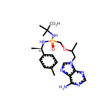 Cc1ccc([C@@H](C)NP(=O)(COC(C)Cn2cnc3c(N)ncnc32)NC(C)(C)C(=O)O)cc1